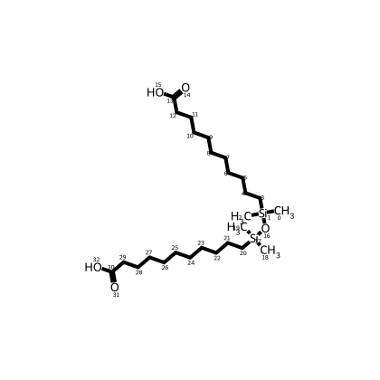 C[Si](C)(CCCCCCCCCCC(=O)O)O[Si](C)(C)CCCCCCCCCCC(=O)O